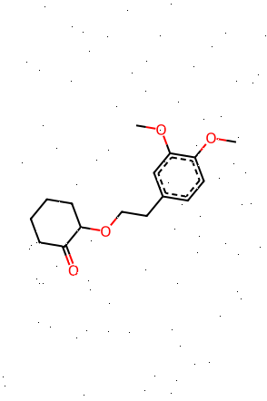 COc1ccc(CCOC2CCCCC2=O)cc1OC